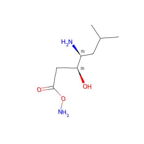 CC(C)C[C@H](N)[C@@H](O)CC(=O)ON